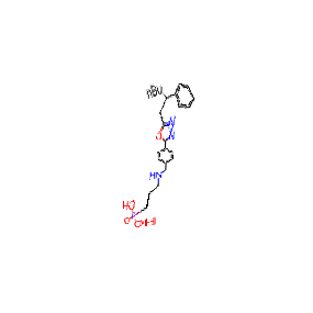 CCCCC(Cc1nnc(-c2ccc(CNCCCP(=O)(O)O)cc2)o1)c1ccccc1